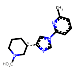 Cc1cccc(-n2cnc([C@H]3CCCN(C(=O)O)C3)c2)n1